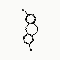 Brc1ccc2c(c1)CCc1ccc(Br)cc1O2